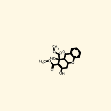 COC(=O)C1=C(O)CC2Oc3ccccc3C(=O)C2C1(O)C(=O)OC